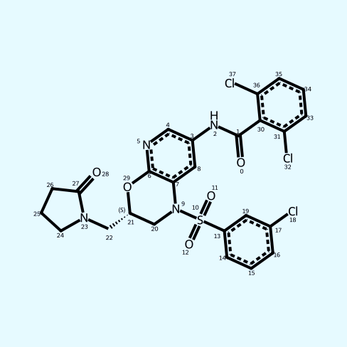 O=C(Nc1cnc2c(c1)N(S(=O)(=O)c1cccc(Cl)c1)C[C@H](CN1CCCC1=O)O2)c1c(Cl)cccc1Cl